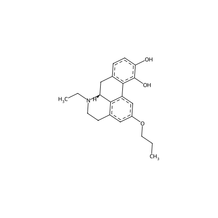 CCCOc1cc2c3c(c1)-c1c(ccc(O)c1O)C[C@H]3N(CC)CC2